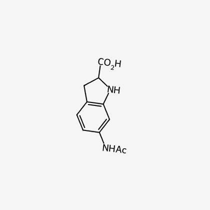 CC(=O)Nc1ccc2c(c1)NC(C(=O)O)C2